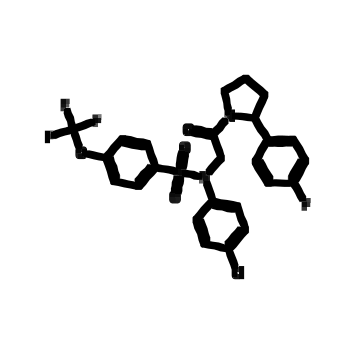 O=C(CN(c1ccc(Cl)cc1)S(=O)(=O)c1ccc(OC(F)(F)F)cc1)N1CCCC1c1ccc(F)cc1